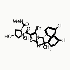 CNC(=O)[C@@H]1C[C@H](O)C[N+]1(C)C(=O)C1=C(C(C)C)N2C(=N[C@@](C)(c3ccc(Cl)cc3)[C@H]2c2ccc(Cl)cc2)S1